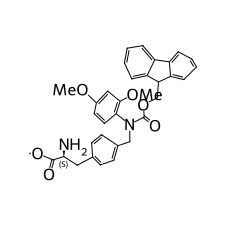 COc1ccc(N(Cc2ccc(C[C@H](N)C([O])=O)cc2)C(=O)OCC2c3ccccc3-c3ccccc32)c(OC)c1